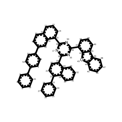 c1ccc(-c2ccc(-c3ccc4cccc(-c5nc(-c6ccc(-c7ccccc7)c7ccccc67)nc(-c6cccc7c6oc6ccccc67)n5)c4c3)cc2)cc1